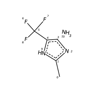 Cc1ncc(C(F)(F)F)[nH]1.N